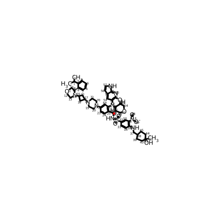 CC(C)c1ccccc1[C@@H]1COCCN1C1CC(N2CCN(c3ccc(C(=O)NS(=O)(=O)c4ccc(NCC5CCC(C)(O)CC5)c([N+](=O)[O-])c4)c(N4c5cc6cc[nH]c6nc5O[C@H]5COCC[C@@H]54)c3)CC2)C1